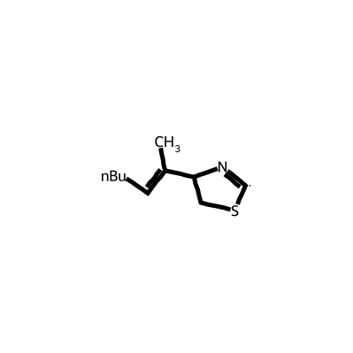 CCCCC=C(C)C1CS[C]=N1